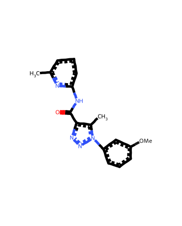 COc1cccc(-n2nnc(C(=O)Nc3cccc(C)n3)c2C)c1